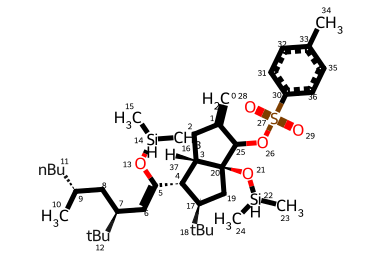 C=C1C[C@H]2[C@@H](C(=C[C@H](C[C@H](C)CCCC)C(C)(C)C)O[SiH](C)C)[C@H](C(C)(C)C)C[C@@]2(O[SiH](C)C)C1OS(=O)(=O)c1ccc(C)cc1